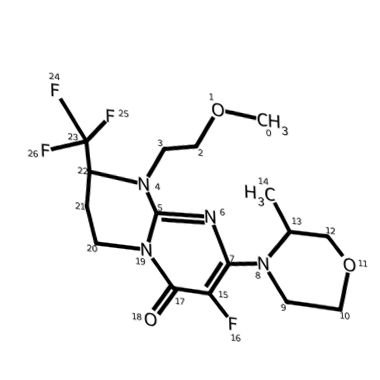 COCCN1c2nc(N3CCOCC3C)c(F)c(=O)n2CCC1C(F)(F)F